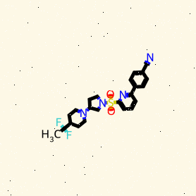 CC(F)(F)C1CCN(C2CCN(S(=O)(=O)c3cccc(-c4ccc(C#N)cc4)n3)C2)CC1